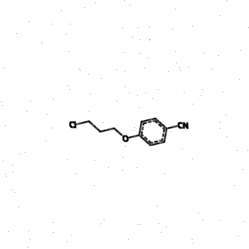 N#Cc1ccc(OCCCCl)cc1